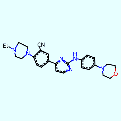 CCN1CCN(c2ccc(-c3ccnc(Nc4ccc(N5CCOCC5)cc4)n3)cc2C#N)CC1